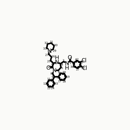 O=C(NCC1CCN(CC(c2ccccc2)c2ccccc2)C(=O)C(CCCN2CCCCC2)N1)c1ccc(Cl)c(Cl)c1